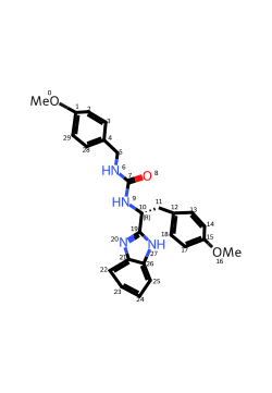 COc1ccc(CNC(=O)N[C@H](Cc2ccc(OC)cc2)c2nc3ccccc3[nH]2)cc1